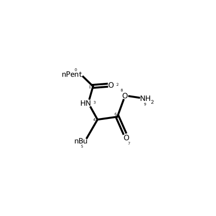 CCCCCC(=O)NC(CCCC)C(=O)ON